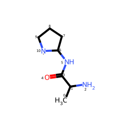 CC(N)C(=O)NC1CCC[N]1